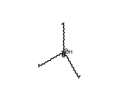 CC(C)CCCCCCCCCCCCCCC(=O)C(O)C(C)(C(=O)CCCCCCCCCCCCCCC(C)C)C(=O)CCCCCCCCCCCCCCC(C)C